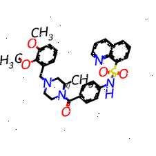 COc1cccc(CN2CCN(C(=O)c3ccc(NS(=O)(=O)c4cccc5cccnc45)cc3)[C@H](C)C2)c1OC